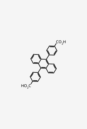 O=C(O)c1ccc(-c2c3ccccc3c(-c3ccc(C(=O)O)cc3)c3ccccc23)cc1